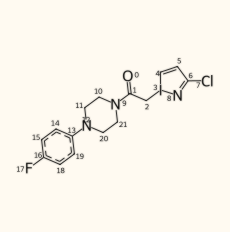 O=C(CI1C=CC(Cl)=N1)N1CCN(c2ccc(F)cc2)CC1